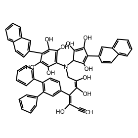 C#C/C(O)=C(\C(O)=C(\O)CN(c1c(O)c(O)c(-c2ccc3ccccc3c2)c(O)c1O)C1C(O)=C(O)C(c2ccc3ccccc3c2)=C1O)c1ccc(-c2ccccc2)c(-c2ccccc2)c1